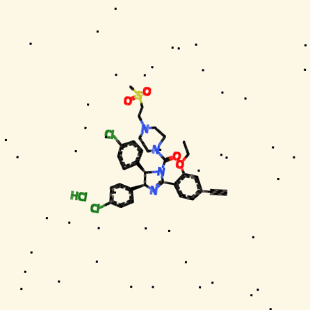 C#Cc1ccc(C2=N[C@@H](c3ccc(Cl)cc3)[C@@H](c3ccc(Cl)cc3)N2C(=O)N2CCN(CCS(C)(=O)=O)CC2)c(OCC)c1.Cl